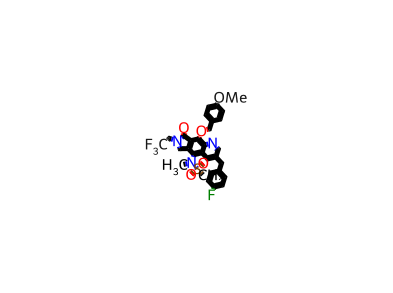 COc1ccc(COc2c3c(c(N(C)S(C)(=O)=O)c4cc(Cc5ccc(F)cc5)cnc24)CN(CC(F)(F)F)C3=O)cc1